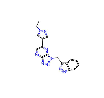 CCn1cc(-c2cnc3nnn(Cc4n[nH]c5ccccc45)c3n2)cn1